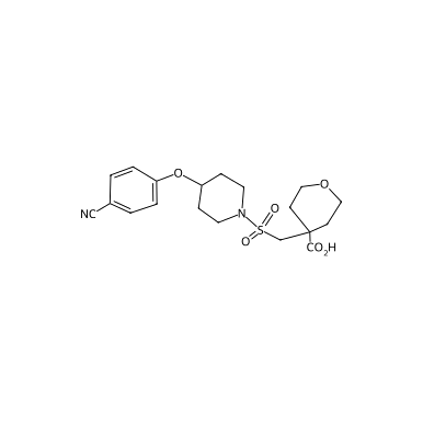 N#Cc1ccc(OC2CCN(S(=O)(=O)CC3(C(=O)O)CCOCC3)CC2)cc1